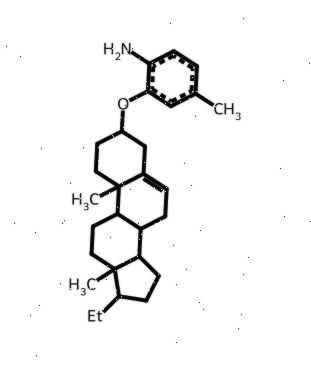 CCC1CCC2C3CC=C4CC(Oc5cc(C)ccc5N)CCC4(C)C3CCC12C